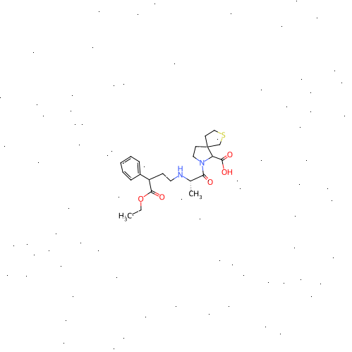 CCOC(=O)C(CCN[C@@H](C)C(=O)N1CCC2(CCSC2)C1C(=O)O)c1ccccc1